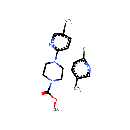 CC(C)(C)OC(=O)N1CCN(c2ccc([N+](=O)[O-])cn2)CC1.O=[N+]([O-])c1ccc(Cl)nc1